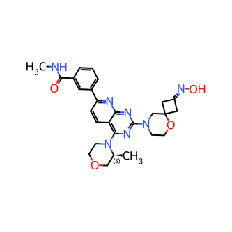 CNC(=O)c1cccc(-c2ccc3c(N4CCOC[C@@H]4C)nc(N4CCOC5(CC(=NO)C5)C4)nc3n2)c1